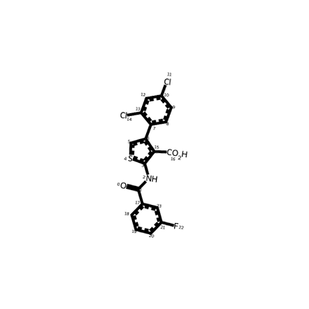 O=C(Nc1scc(-c2ccc(Cl)cc2Cl)c1C(=O)O)c1cccc(F)c1